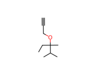 C#CCOC(C)(CC)C(C)C